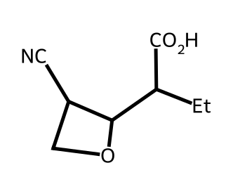 CCC(C(=O)O)C1OCC1C#N